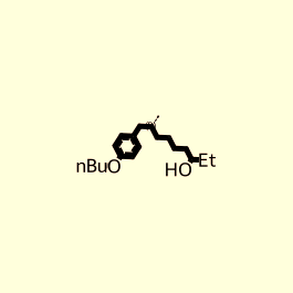 CCCCOc1ccc(C[C@H](C)CCCCC(O)CC)cc1